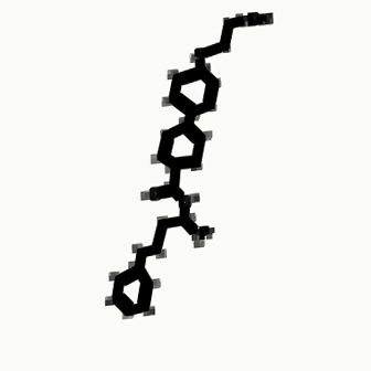 CCCCCCCCCCCCSc1ccc(-c2ccc(C(=O)OC(CCC)CCCc3ccccc3)cc2)cc1